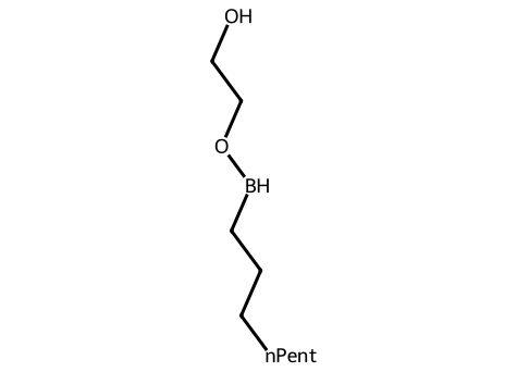 CCCCCCCCBOCCO